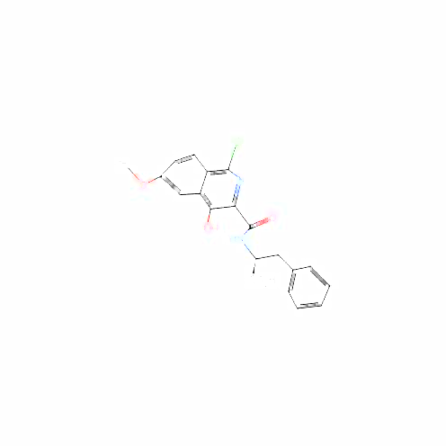 CC(C)Oc1ccc2c(Cl)nc(C(=O)N[C@@H](Cc3ccccc3)C(=O)O)c(O)c2c1